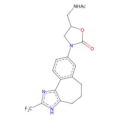 CC(=O)NCC1CN(c2ccc3c(c2)CCCc2[nH]c(C(F)(F)F)nc2-3)C(=O)O1